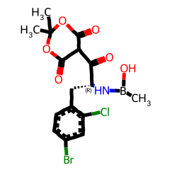 CB(O)N[C@H](Cc1ccc(Br)cc1Cl)C(=O)C1C(=O)OC(C)(C)OC1=O